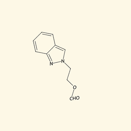 O=COCCn1cc2ccccc2n1